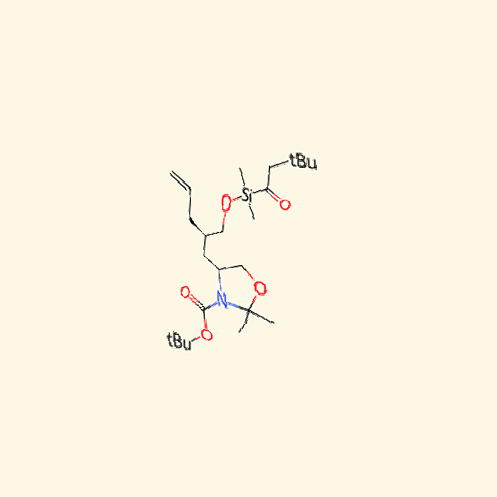 C=CC[C@@H](CO[Si](C)(C)C(=O)CC(C)(C)C)CC1COC(C)(C)N1C(=O)OC(C)(C)C